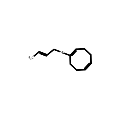 C/C=C/[CH2][Ni][C]1=CCCC=CCC1